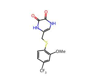 COc1cc(C(F)(F)F)ccc1SCc1c[nH]c(=O)c(=O)[nH]1